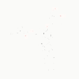 CCCCCC1CCC(c2ccc(-c3ccc(OCCC(CO)(CO)CCC(C)(C)C)c(CCOC4OC4C(C)C(C)C)c3)c(CC)c2)CC1